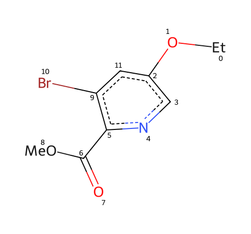 CCOc1cnc(C(=O)OC)c(Br)c1